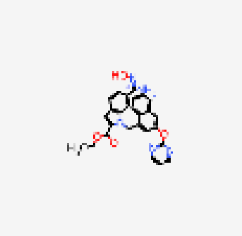 CCOC(=O)c1cc2ccc(/C(N)=N\O)cc2n1Cc1cc(Oc2ncccn2)cc2ccccc12